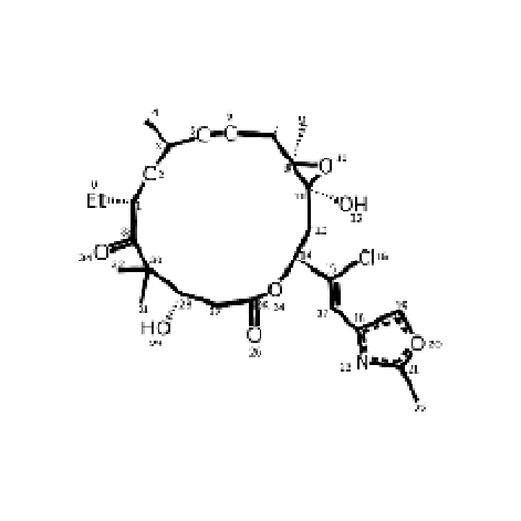 CC[C@@H]1C[C@@H](C)CCC[C@@]2(C)O[C@@]2(O)C[C@@H](C(Cl)=Cc2coc(C)n2)OC(=O)C[C@H](O)C(C)(C)C1=O